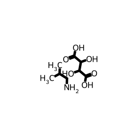 CC(C)CN.O=C(O)C(O)C(O)C(=O)O